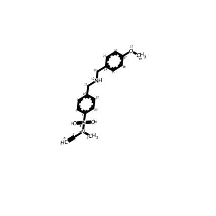 C#CN(C)S(=O)(=O)c1ccc(CNCc2ccc(OC)cc2)cc1